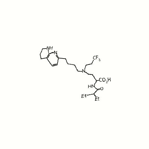 CCC(CC)C(=O)NC(CCN(CCCCc1ccc2c(n1)NCCC2)CCC(F)(F)F)C(=O)O